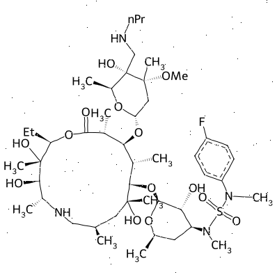 CCCNC[C@]1(O)[C@H](C)O[C@@H](O[C@H]2[C@H](C)[C@@H](O[C@@H]3O[C@H](C)C[C@H](N(C)S(=O)(=O)N(C)c4ccc(F)cc4)[C@H]3O)[C@](C)(O)C[C@@H](C)CN[C@H](C)[C@@H](O)[C@](C)(O)[C@@H](CC)OC(=O)[C@@H]2C)C[C@@]1(C)OC